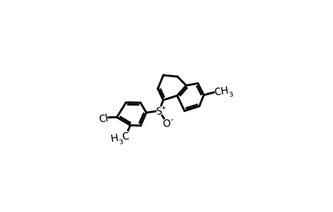 Cc1ccc2c(c1)CCC=C2[S+]([O-])c1ccc(Cl)c(C)c1